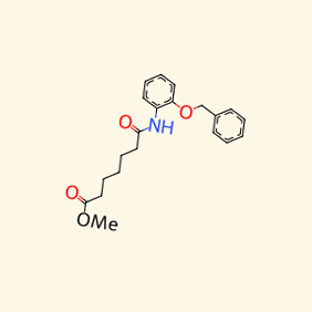 COC(=O)CCCCCC(=O)Nc1ccccc1OCc1ccccc1